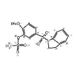 COc1ccc(S(=O)(=O)N2CCc3ccccc32)cc1OS(C)(=O)=O